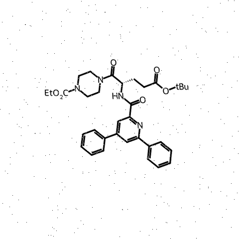 CCOC(=O)N1CCN(C(=O)[C@H](CCC(=O)OC(C)(C)C)NC(=O)c2cc(-c3ccccc3)cc(-c3ccccc3)n2)CC1